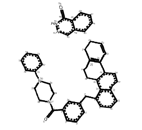 O=C(c1cccc(Cc2cccc3ccc4c(c23)CCC2=C4C=CCC2)c1)N1CCN(c2ccccc2)CC1.O=c1[nH]ncc2ccccc12